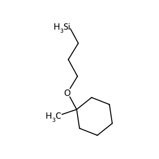 CC1(OCCC[SiH3])CCCCC1